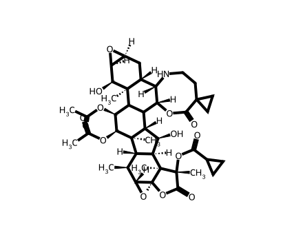 CC(=O)O[C@H]1C2C([C@H]3OC(=O)C4(CCN[C@H]3[C@H]3C[C@@H]5O[C@@H]5[C@H](O)[C@]23C)CC4)[C@@H]2[C@@H](O)[C@@H]3[C@H]([C@H](C)[C@H]4O[C@]45OC(=O)[C@@](C)(OC(=O)C4CC4)[C@]35C)[C@@]2(C)[C@H]1OC(C)=O